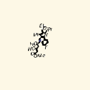 CCOCc1c(C(C)C)nc(-c2ccc(F)cc2)c(/C=C/C(O)CC(O)CC(=O)OC)c1C(C)C